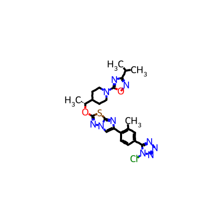 Cc1cc(-c2nnnn2Cl)ccc1-c1cn2nc(O[C@H](C)C3CCN(c4nc(C(C)C)no4)CC3)sc2n1